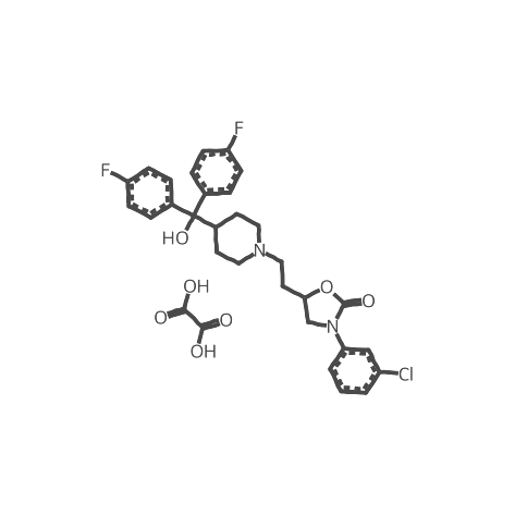 O=C(O)C(=O)O.O=C1OC(CCN2CCC(C(O)(c3ccc(F)cc3)c3ccc(F)cc3)CC2)CN1c1cccc(Cl)c1